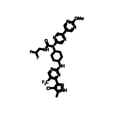 COc1ncc(-c2cnc(N(C(=O)NCC(F)F)C3CCC(Nc4ncc(C(F)(F)F)c(-c5n[nH]c(C)c5Cl)n4)CC3)cn2)cn1